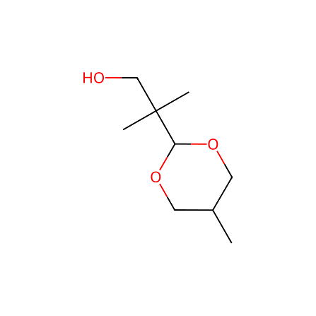 CC1COC(C(C)(C)CO)OC1